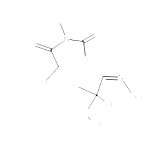 CN(C(=O)O)C(=O)CCl.CSC(C)(C)/C=N\O